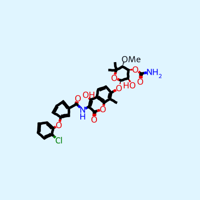 CO[C@@H]1[C@@H](OC(N)=O)[C@@H](O)[C@H](Oc2ccc3c(O)c(NC(=O)c4cccc(Oc5ccccc5Cl)c4)c(=O)oc3c2C)OC1(C)C